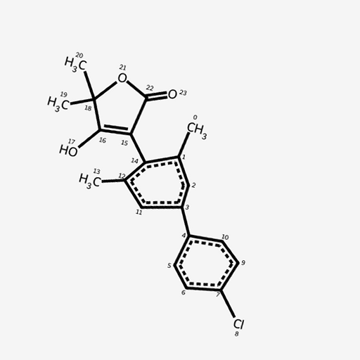 Cc1cc(-c2ccc(Cl)cc2)cc(C)c1C1=C(O)C(C)(C)OC1=O